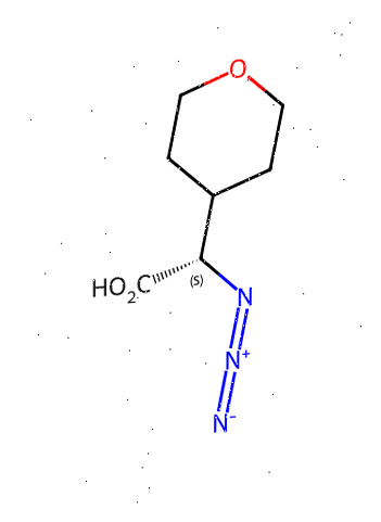 [N-]=[N+]=N[C@H](C(=O)O)C1CCOCC1